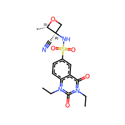 CCn1c(=O)c2cc(S(=O)(=O)N[C@]3(C#N)CO[C@H]3C)ccc2n(CC)c1=O